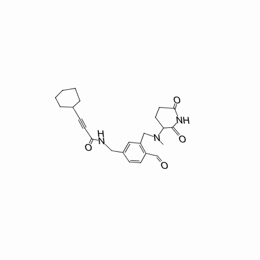 CN(Cc1cc(CNC(=O)C#CC2CCCCC2)ccc1C=O)C1CCC(=O)NC1=O